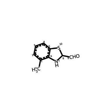 Cc1cccc2c1NC(C=O)S2